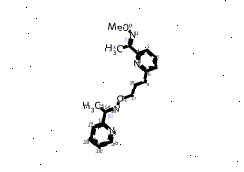 CO/N=C(\C)c1cccc(CCCO/N=C(\C)c2ccccn2)n1